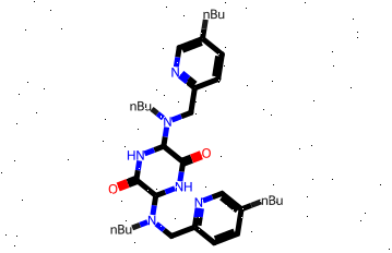 CCCCc1ccc(CN(CCCC)C2NC(=O)C(N(CCCC)Cc3ccc(CCCC)cn3)NC2=O)nc1